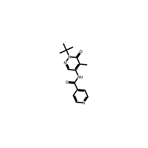 Cc1c(NC(=O)c2ccncc2)cnn(C(C)(C)C)c1=O